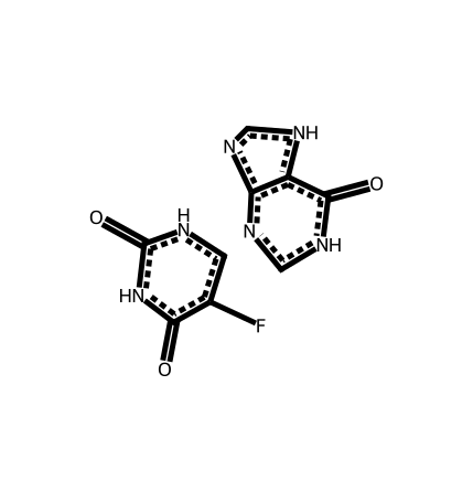 O=c1[nH]cc(F)c(=O)[nH]1.O=c1[nH]cnc2nc[nH]c12